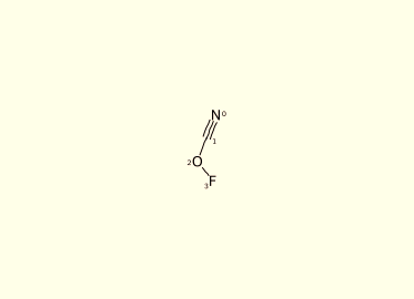 N#COF